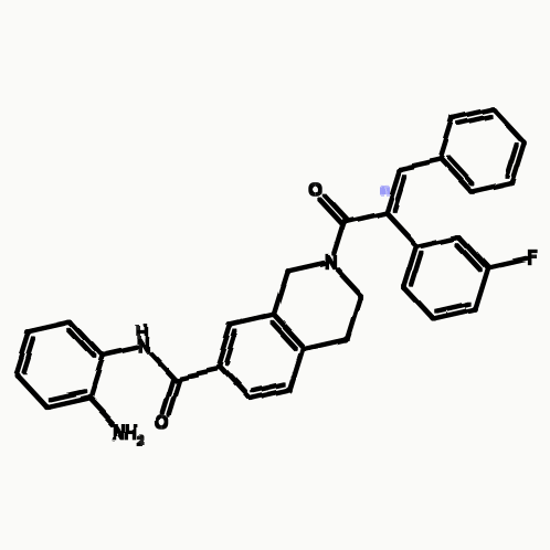 Nc1ccccc1NC(=O)c1ccc2c(c1)CN(C(=O)/C(=C/c1ccccc1)c1cccc(F)c1)CC2